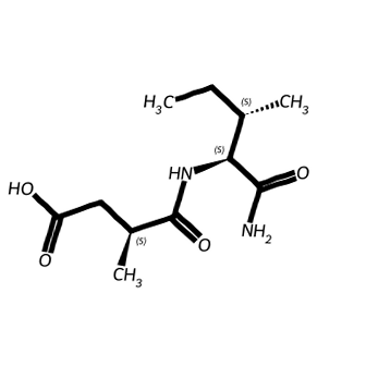 CC[C@H](C)[C@H](NC(=O)[C@@H](C)CC(=O)O)C(N)=O